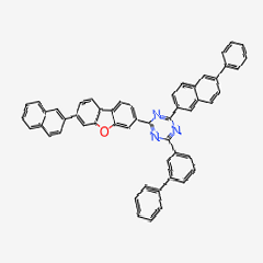 c1ccc(-c2cccc(-c3nc(-c4ccc5cc(-c6ccccc6)ccc5c4)nc(-c4ccc5c(c4)oc4cc(-c6ccc7ccccc7c6)ccc45)n3)c2)cc1